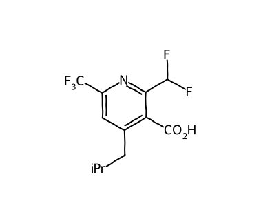 CC(C)Cc1cc(C(F)(F)F)nc(C(F)F)c1C(=O)O